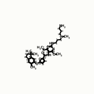 COc1nc(NCCCN(C)CCCN)nc(OC)c1NC(=O)c1ccc(Oc2cc3c(cc2C)CCC3(C)C)o1